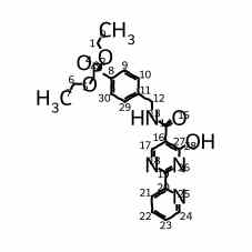 CCOP(=O)(OCC)c1ccc(CNC(=O)c2cnc(-c3ccccn3)nc2O)cc1